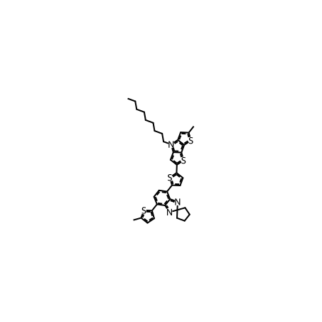 CCCCCCCCCn1c2cc(C)sc2c2sc(-c3ccc(-c4ccc(-c5ccc(C)s5)c5c4=NC4(CCCC4)N=5)s3)cc21